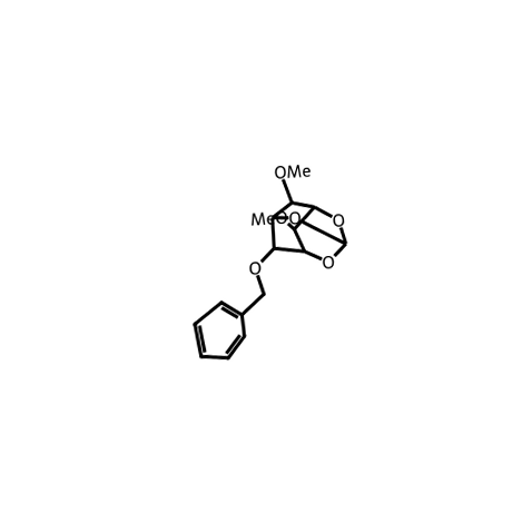 COC1C2OC3OC1C(OCc1ccccc1)C(O3)C2OC